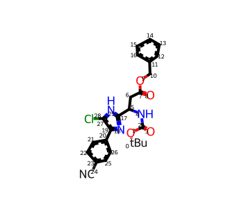 CC(C)(C)OC(=O)NC(CC(=O)OCc1ccccc1)c1nc(-c2ccc(C#N)cc2)c(Cl)[nH]1